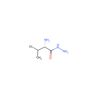 CCC(C)[C@H](N)C(=O)NN